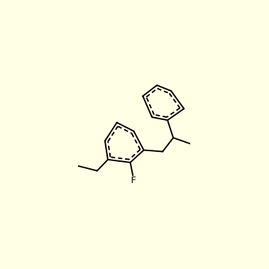 CCc1cccc(CC(C)c2ccccc2)c1F